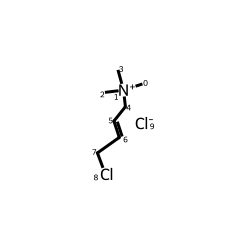 C[N+](C)(C)CC=CCCl.[Cl-]